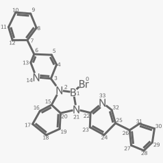 BrB1N(c2ccc(-c3ccccc3)cn2)c2ccccc2N1c1ccc(-c2ccccc2)cn1